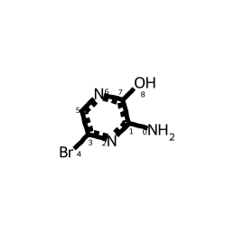 Nc1nc(Br)cnc1O